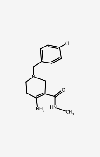 CNC(=O)C1=C(N)CCN(Cc2ccc(Cl)cc2)C1